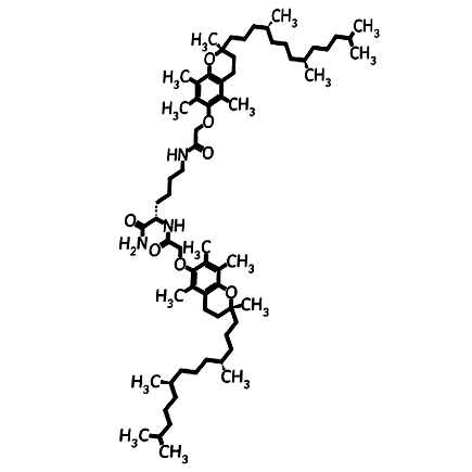 Cc1c(C)c2c(c(C)c1OCC(=O)NCCCC[C@H](NC(=O)COc1c(C)c(C)c3c(c1C)CC[C@@](C)(CCC[C@H](C)CCC[C@H](C)CCCC(C)C)O3)C(N)=O)CC[C@@](C)(CCC[C@H](C)CCC[C@H](C)CCCC(C)C)O2